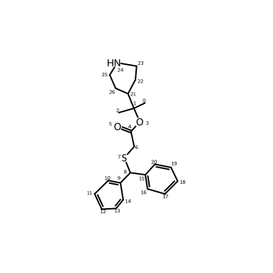 CC(C)(OC(=O)CSC(c1ccccc1)c1ccccc1)C1CCNCC1